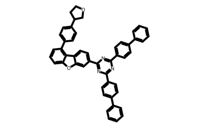 c1ccc(-c2ccc(-c3nc(-c4ccc(-c5ccccc5)cc4)nc(-c4ccc5c(c4)oc4cccc(-c6ccc(C7CCOC7)cc6)c45)n3)cc2)cc1